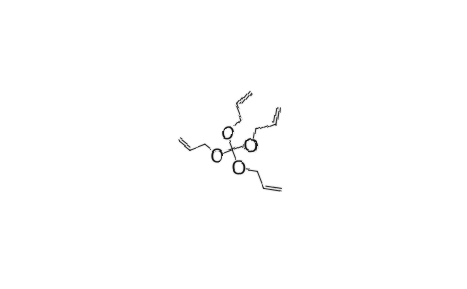 C=CCOC(OCC=C)(OCC=C)OCC=C